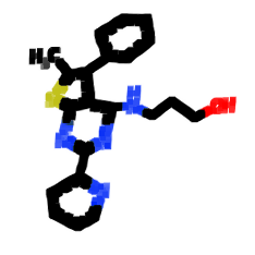 Cc1sc2nc(-c3ccccn3)nc(NCCCO)c2c1-c1ccccc1